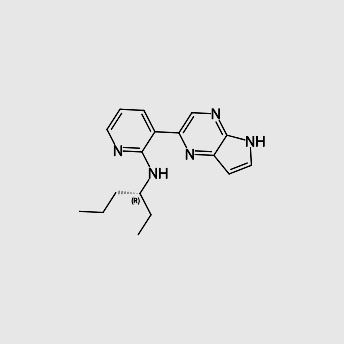 CCC[C@@H](CC)Nc1ncccc1-c1cnc2[nH]ccc2n1